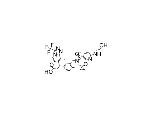 Cc1ccc(C(CC(=O)O)c2ccn3c(C(F)(F)F)nnc3c2C)cc1CN1CC2(CC2)Oc2nc(NCCO)ccc2[S+]1[O-]